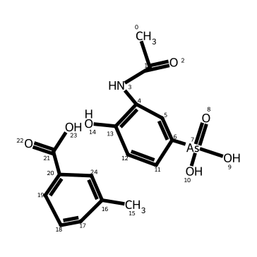 CC(=O)Nc1cc([As](=O)(O)O)ccc1O.Cc1cccc(C(=O)O)c1